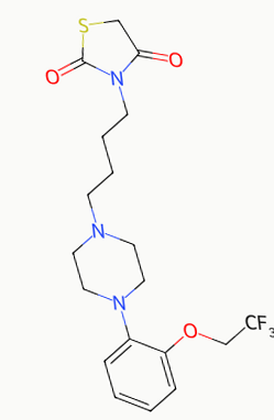 O=C1CSC(=O)N1CCCCN1CCN(c2ccccc2OCC(F)(F)F)CC1